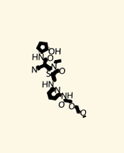 CCn1c(=C(C#N)C(=O)N[C@H]2CCC[C@@H]2O)sc(=CNc2cccc(NC(=O)COCCOC)n2)c1=O